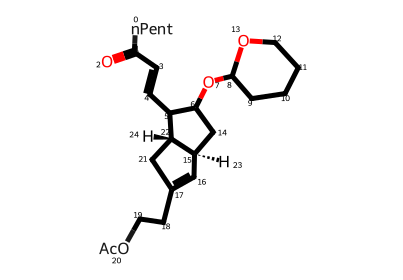 CCCCCC(=O)C=CC1C(OC2CCCCO2)C[C@H]2C=C(CCOC(C)=O)C[C@H]12